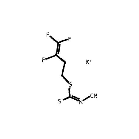 N#CN=C([S-])SCCC(F)=C(F)F.[K+]